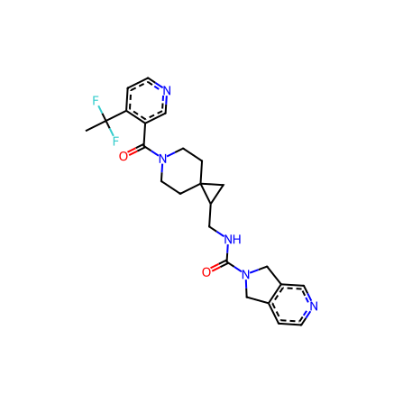 CC(F)(F)c1ccncc1C(=O)N1CCC2(CC1)CC2CNC(=O)N1Cc2ccncc2C1